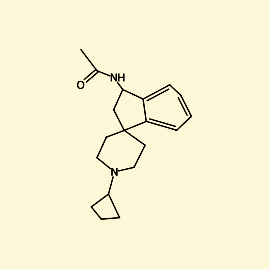 CC(=O)NC1CC2(CCN(C3CCC3)CC2)c2ccccc21